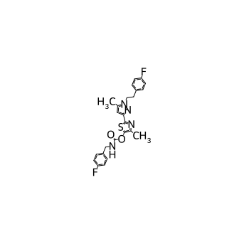 Cc1nc(-c2cc(C)n(CCc3ccc(F)cc3)n2)sc1OC(=O)NCc1ccc(F)cc1